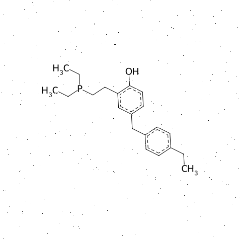 CCc1ccc(Cc2ccc(O)c(CCP(CC)CC)c2)cc1